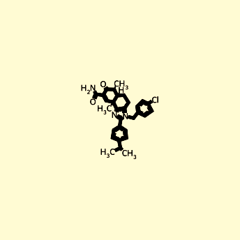 CC(C)c1ccc(-c2nc3c(n2Cc2ccc(Cl)cc2)CC[C@@H]2[C@@H](C)C(=O)C(C(N)=O)=C[C@@]32C)cc1